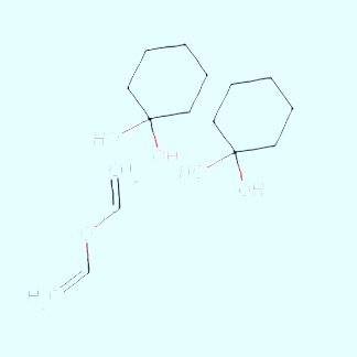 C=COC=C.OC1(O)CCCCC1.OC1(O)CCCCC1